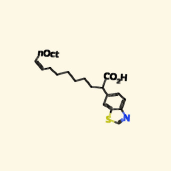 CCCCCCCC/C=C\CCCCCCC(C(=O)O)c1ccc2ncsc2c1